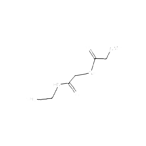 CNCC(=O)NCC(=O)NC[C]=O